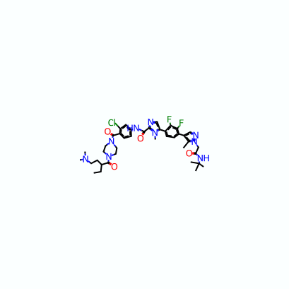 CCC(CCN(C)C)C(=O)N1CCN(C(=O)c2ccc(NC(=O)c3ncc(-c4ccc(-c5cnn(CC(=O)NC(C)(C)C)c5C)c(F)c4F)n3C)cc2Cl)CC1